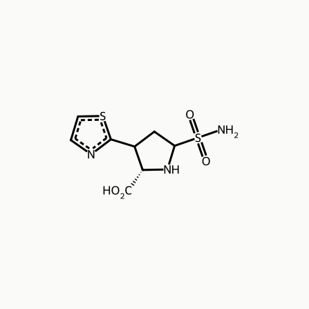 NS(=O)(=O)C1CC(c2nccs2)[C@@H](C(=O)O)N1